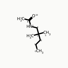 CCCC(C)(C)CNC(C)=O